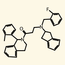 Cc1ccccc1C1c2ccccc2CCN1C(=O)CCN(Cc1ccccc1F)C1Cc2ccccc2C1